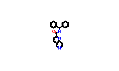 O=C(NC(c1ccccc1)c1ccccc1)c1ccc2cnccc2n1